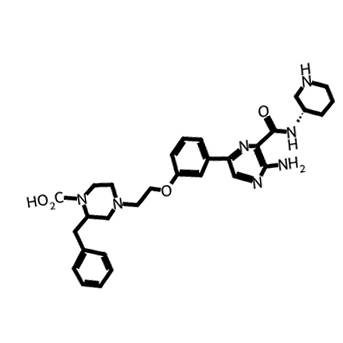 Nc1ncc(-c2cccc(OCCN3CCN(C(=O)O)C(Cc4ccccc4)C3)c2)nc1C(=O)N[C@H]1CCCNC1